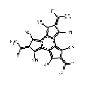 N#CC1=c2c3c(c4c(c2=C(C#N)C1=C(F)C(F)(F)F)=C(C#N)C(=C(F)C(F)(F)F)C=4C#N)=C(C#N)C(=C(F)C(F)(F)F)C=3C#N